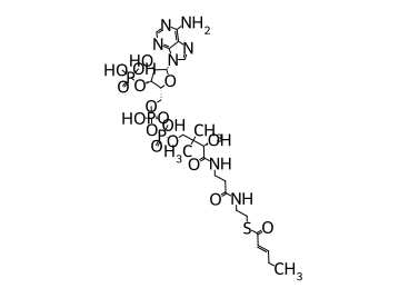 CC/C=C/C(=O)SCCNC(=O)CCNC(=O)[C@H](O)C(C)(C)COP(=O)(O)OP(=O)(O)OC[C@H]1O[C@@H](n2cnc3c(N)ncnc32)[C@H](O)[C@@H]1OP(=O)(O)O